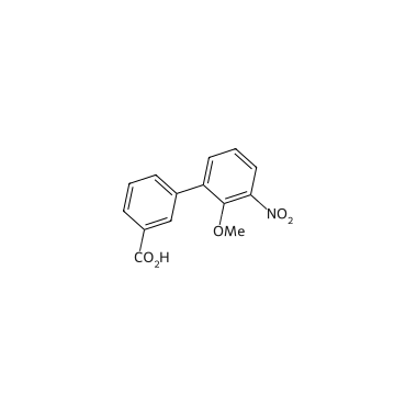 COc1c(-c2cccc(C(=O)O)c2)cccc1[N+](=O)[O-]